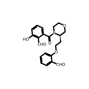 O=Cc1ccccc1OCC[C@@H]1COCCN1C(=O)c1cccc(O)c1C=O